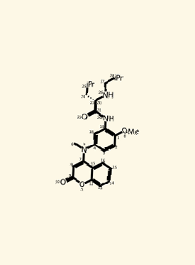 COc1ccc(N(C)c2cc(=O)oc3ccccc23)cc1NC(=O)[C@H](CC(C)C)NCC(C)C